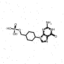 Nc1nc2c(ncn2C2CCC(COP(=O)(O)O)CC2)c(=O)[nH]1